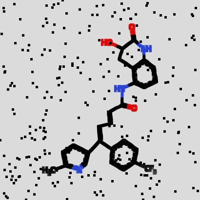 Cc1ccc(/C(=C/C=C/C(=O)Nc2cccc3c2CC(O)C(=O)N3)c2ccc(C(F)(F)F)cc2)cn1